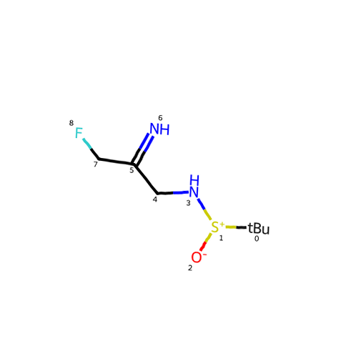 CC(C)(C)[S+]([O-])NCC(=N)CF